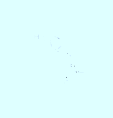 Cc1ccc(CN2CCN(S(C)=S)CC2)nc1